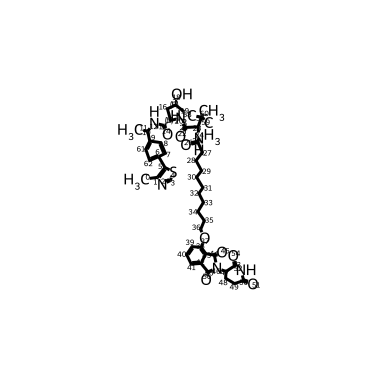 Cc1ncsc1-c1ccc(C(C)NC(=O)[C@@H]2C[C@@H](O)CN2C(=O)C(NC(=O)CCCCCCCCCCOc2cccc3c2C(=O)N(C2CCC(=O)NC2=O)C3=O)C(C)(C)C)cc1